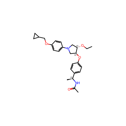 CCO[C@H]1CN(c2ccc(OCC3CC3)cc2)C[C@@H]1Oc1ccc([C@H](C)NC(C)=O)cc1